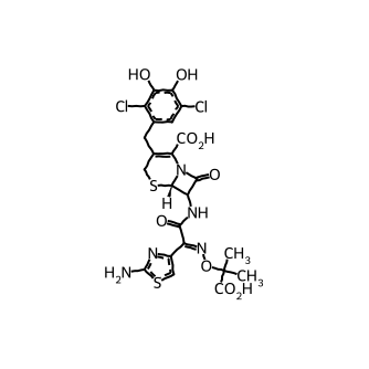 CC(C)(ON=C(C(=O)NC1C(=O)N2C(C(=O)O)=C(Cc3cc(Cl)c(O)c(O)c3Cl)CS[C@@H]12)c1csc(N)n1)C(=O)O